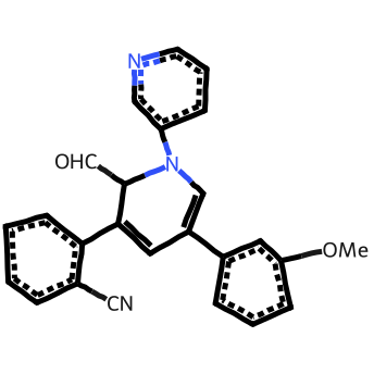 COc1cccc(C2=CN(c3cccnc3)C(C=O)C(c3ccccc3C#N)=C2)c1